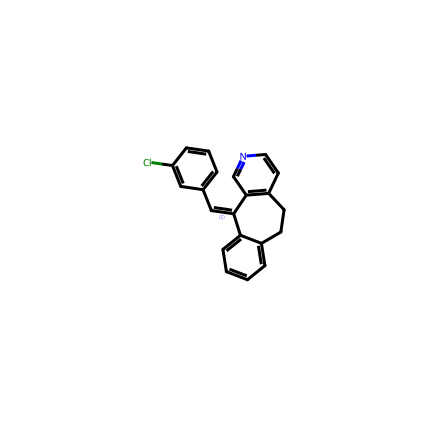 Clc1cccc(/C=C2/c3ccccc3CCc3ccncc32)c1